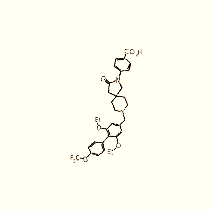 CCOc1cc(CN2CCC3(CC2)CC(=O)N(c2ccc(C(=O)O)cc2)C3)cc(OCC)c1-c1ccc(OC(F)(F)F)cc1